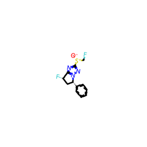 [O-][S@+](CF)c1nc2n(n1)[C@H](c1ccccc1)C[C@@H]2F